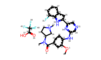 COc1cc(C(=O)N(C)C2CCN(C)C2)ccc1Nc1cncc(-c2cc3cccc(F)c3[nH]2)n1.O=C(O)C(F)(F)F